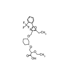 CCOC(CO[C@@H]1CCC[C@H](OCc2nc(-c3ccccc3C(F)(F)F)oc2CC)C1)C(=O)O